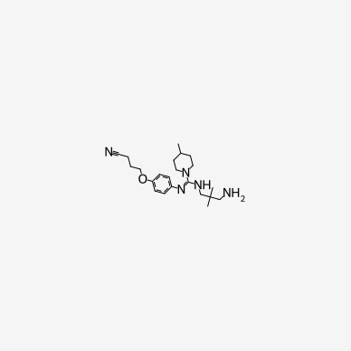 CC1CCN(/C(=N\c2ccc(OCCCC#N)cc2)NCC(C)(C)CN)CC1